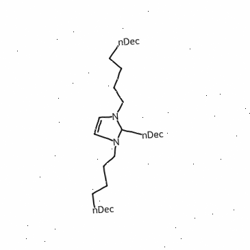 CCCCCCCCCCCCCCN1C=CN(CCCCCCCCCCCCCC)C1CCCCCCCCCC